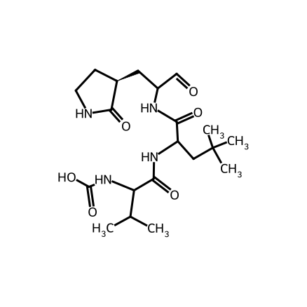 CC(C)C(NC(=O)O)C(=O)NC(CC(C)(C)C)C(=O)NC(C=O)C[C@@H]1CCNC1=O